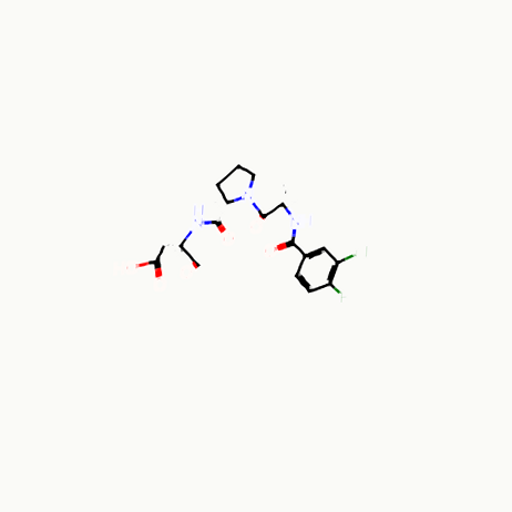 C[C@H](NC(=O)c1ccc(F)c(Cl)c1)C(=O)N1CCC[C@H]1C(=O)N[C@H](C=O)CC(=O)O